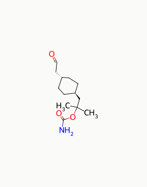 CC(C)(C[C@H]1CC[C@H](CC=O)CC1)OC(N)=O